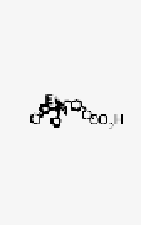 CCc1c(-c2cccc(Cl)c2)c(-c2ccccc2)nn1CC1CCC(COCC(=O)O)CC1